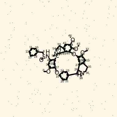 COc1cc(N[S+]([O-])Cc2ccccc2)c2cc1Oc1ccc(cc1)C[C@H]1c3cc(c(OC)cc3CCN1C)Oc1c(OC)c(OC)cc3c1[C@H](C2)N(C)CC3